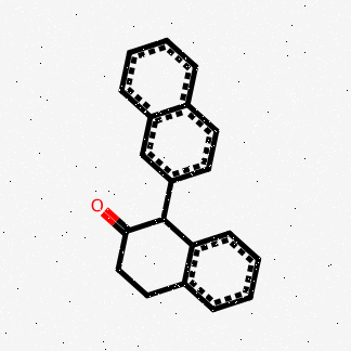 O=C1CCc2ccccc2C1c1ccc2ccccc2c1